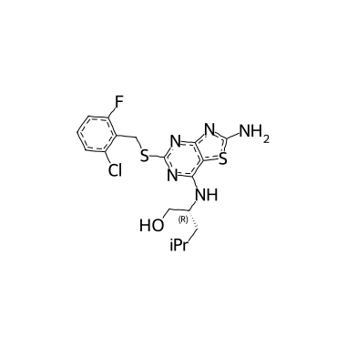 CC(C)C[C@H](CO)Nc1nc(SCc2c(F)cccc2Cl)nc2nc(N)sc12